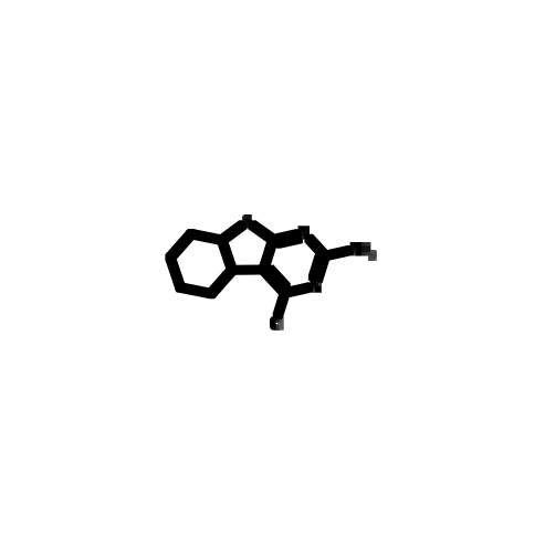 Nc1nc(Cl)c2c(n1)SC1CCCCC21